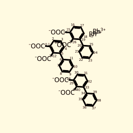 O=C([O-])c1cccc(-c2ccccc2)c1C(=O)[O-].O=C([O-])c1cccc(-c2ccccc2)c1C(=O)[O-].O=C([O-])c1cccc(-c2ccccc2)c1C(=O)[O-].[Rh+3].[Rh+3]